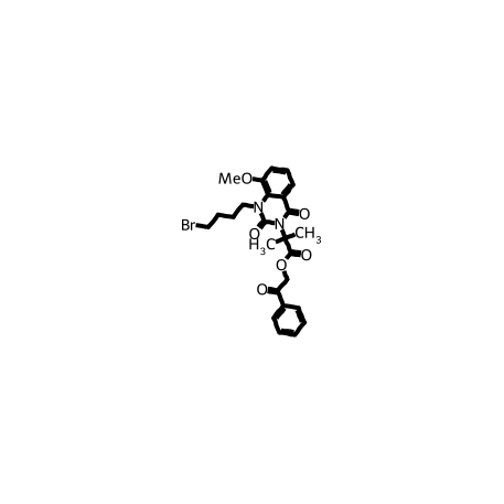 COc1cccc2c(=O)n(C(C)(C)C(=O)OCC(=O)c3ccccc3)c(=O)n(CCCCBr)c12